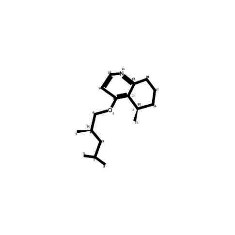 CC(C)C[C@@H](C)COc1ccnc2c1[C@H](C)CCC2